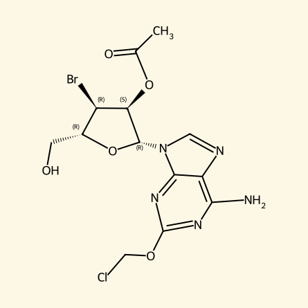 CC(=O)O[C@@H]1[C@H](Br)[C@@H](CO)O[C@H]1n1cnc2c(N)nc(OCCl)nc21